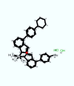 CCC1=Cc2c(-c3ccc(C4CCCCC4)cc3)cccc2[CH]1[Zr]([CH3])([CH3])(=[SiH2])[CH]1C(C(C)C)=Cc2c(-c3ccc(C(C)(C)C)cc3)cccc21.Cl.Cl